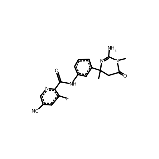 CN1C(=O)CC(C)(c2cccc(NC(=O)c3ncc(C#N)cc3F)c2)N=C1N